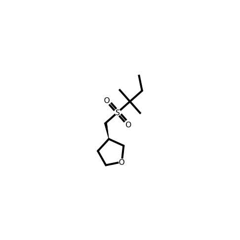 CCC(C)(C)S(=O)(=O)C[C@@H]1CCOC1